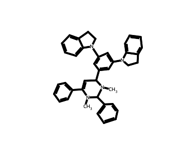 CN1C(c2ccccc2)=CC(c2cc(N3CCc4ccccc43)cc(N3CCc4ccccc43)c2)N(C)C1c1ccccc1